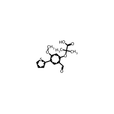 COc1cc(OC(C)(C)C(=O)O)c(C=O)cc1-c1cccs1